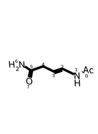 CC(=O)NC=CCC(N)=O